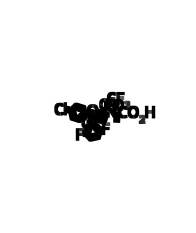 CC(C(=O)O)N([C@H]1C[C@](c2cc(F)ccc2F)(S(=O)(=O)c2ccc(Cl)cc2)C1)S(=O)(=O)C(F)(F)F